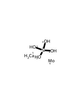 O[Si](O)(O)O.[CaH2].[Mo]